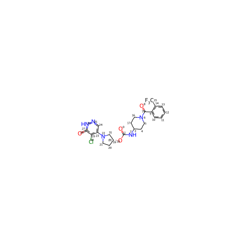 O=C(NC1CCN(C(=O)c2ccccc2C(F)(F)F)CC1)O[C@@H]1CCN(c2cn[nH]c(=O)c2Cl)C1